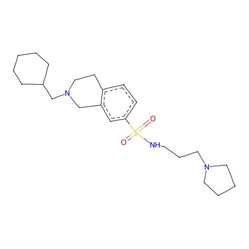 O=S(=O)(NCCCN1CCCC1)c1ccc2c(c1)CN(CC1CCCCC1)CC2